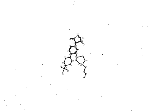 CCCCN1CCN(c2cc(-c3c(C)noc3C)ccc2C2CCC(C(C)(C)C)CC2)CC1